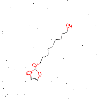 OCCCCCCCCC[O+]=C1OCCO1